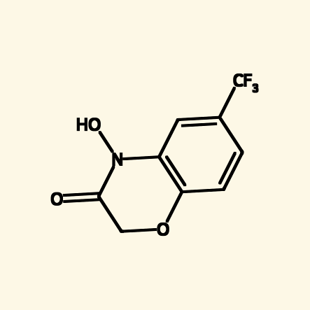 O=C1COc2ccc(C(F)(F)F)cc2N1O